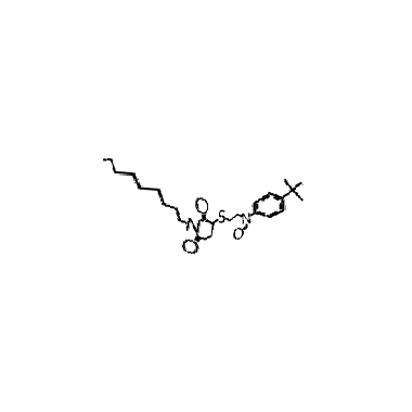 CCCCCCCCCN1C(=O)CC(SCCN(C=O)c2ccc(C(C)(C)C)cc2)C1=O